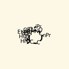 CCCC1CCCCCCC2(CCNC2=O)C[C@@H](C(O)P(=O)(OCC)OCC)NC(=O)[C@H](CC(C)C)NC(=O)C1